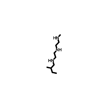 CCC(C)CNCCNCCNC